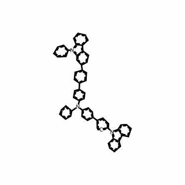 c1ccc(N(c2ccc(-c3ccc(-c4ccc5c6ccccc6n(-c6ccccc6)c5c4)cc3)cc2)c2ccc(-c3ccc(-n4c5ccccc5c5ccccc54)cc3)cc2)cc1